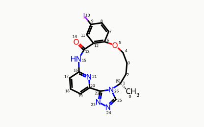 C[C@H]1CCCOc2ccc(I)cc2C(=O)Nc2cccc(n2)-c2nncn21